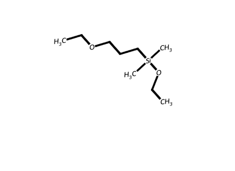 CCOCCC[Si](C)(C)OCC